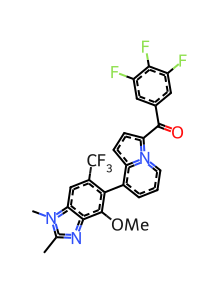 COc1c(-c2cccn3c(C(=O)c4cc(F)c(F)c(F)c4)ccc23)c(C(F)(F)F)cc2c1nc(C)n2C